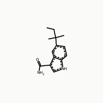 CCC(C)(C)c1ccc2[nH]cc(C(N)=O)c2c1